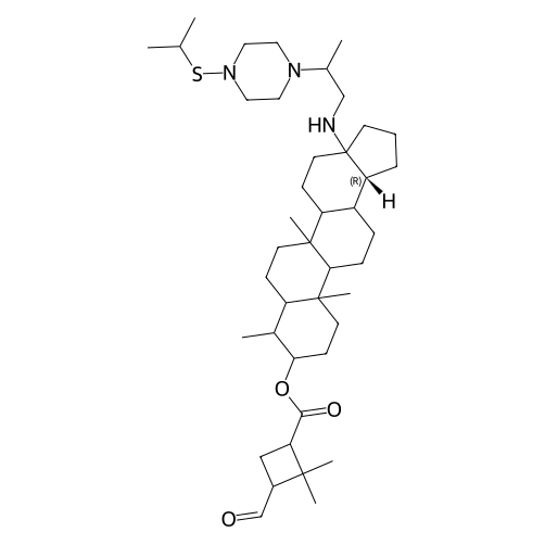 CC(C)SN1CCN(C(C)CNC23CCC[C@@H]2C2CCC4C5(C)CCC(OC(=O)C6CC(C=O)C6(C)C)C(C)C5CCC4(C)C2CC3)CC1